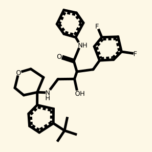 CC(C)(C)c1cccc(C2(NCC(O)C(Cc3cc(F)cc(F)c3)C(=O)Nc3ccccc3)CCOCC2)c1